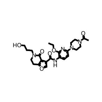 CCOc1nc(N2CCN(C(C)=O)CC2)ccc1NC(=O)c1coc2c1C(=O)N(CCCO)CC2